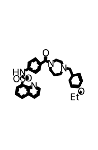 CCOC1=CCC(CN2CCCN(C(=O)c3ccc(NS(=O)(=O)c4cccc5cccnc45)cc3)CC2)C=C1